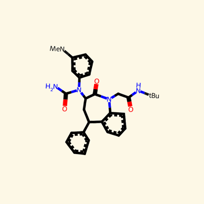 CNc1cccc(N(C(N)=O)C2CC(c3ccccc3)c3ccccc3N(CC(=O)NC(C)(C)C)C2=O)c1